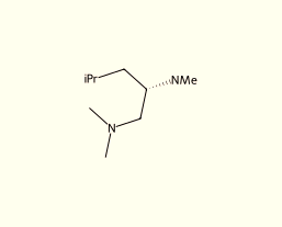 CN[C@@H](CC(C)C)CN(C)C